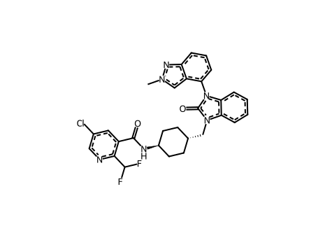 Cn1cc2c(-n3c(=O)n(C[C@H]4CC[C@H](NC(=O)c5cc(Cl)cnc5C(F)F)CC4)c4ccccc43)cccc2n1